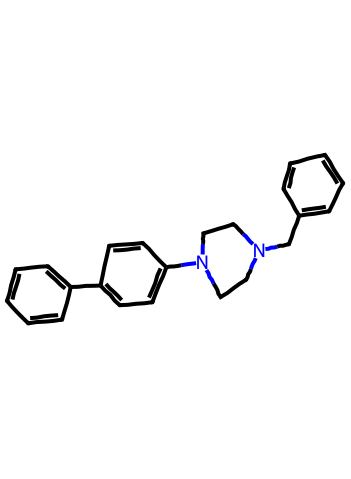 c1ccc(CN2CCN(c3ccc(-c4ccccc4)cc3)CC2)cc1